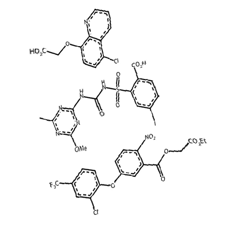 CCOC(=O)COC(=O)c1cc(Oc2ccc(C(F)(F)F)cc2Cl)ccc1[N+](=O)[O-].COc1nc(C)nc(NC(=O)NS(=O)(=O)c2cc(I)ccc2C(=O)O)n1.O=C(O)COc1ccc(Cl)c2cccnc12